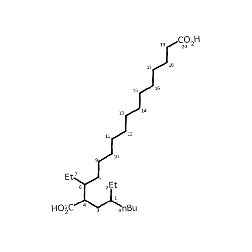 CCCCC(CC)CC(C(=O)O)C(CC)CCCCCCCCCCCCC(=O)O